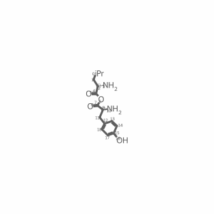 CC(C)C[C@H](N)C(=O)OC(=O)[C@@H](N)Cc1ccc(O)cc1